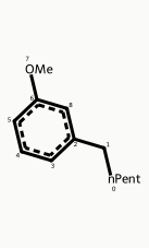 CCC[CH]CCc1cccc(OC)c1